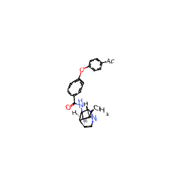 CC(=O)c1ccc(Oc2ccc(C(=O)N[C@@H]3C4CCN(CC4)[C@H]3C)cc2)cc1